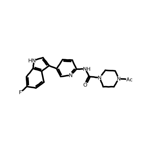 CC(=O)N1CCN(C(=O)Nc2ccc(-c3c[nH]c4cc(F)ccc34)cn2)CC1